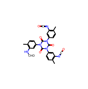 Cc1ccc(-n2c(=O)n(-c3ccc(C)c(N=C=O)c3)c(=O)n(-c3ccc(C)c(NC=O)c3)c2=O)cc1N=C=O